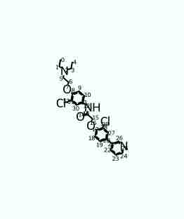 CCN(CC)CCOc1ccc(NC(=O)COc2ccc(-c3cccnc3)cc2Cl)cc1Cl